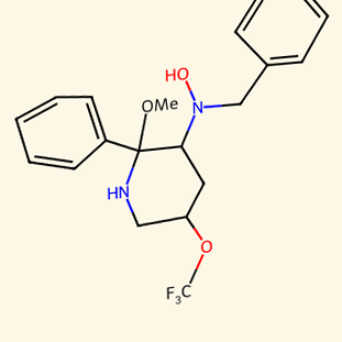 COC1(c2ccccc2)NCC(OC(F)(F)F)CC1N(O)Cc1ccccc1